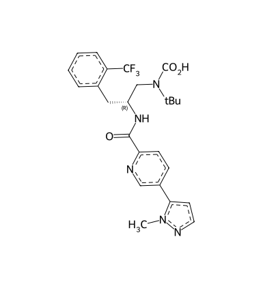 Cn1nccc1-c1ccc(C(=O)N[C@H](Cc2ccccc2C(F)(F)F)CN(C(=O)O)C(C)(C)C)nc1